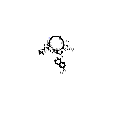 CCOc1ccc2c(O[C@@H]3C[C@H]4C(=O)N[C@]5(C(=O)NS(=O)(=O)C6(C)CC6)C[C@H]5/C=C\CC[C@@H](C)C[C@@H](CC)[C@H](NC(=O)O)C(=O)N4C3)nccc2c1